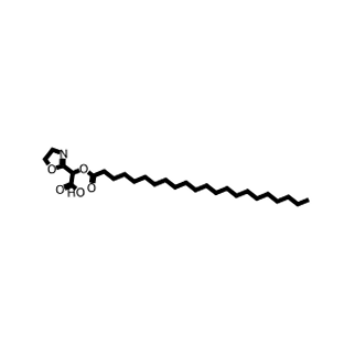 CCCCCCCCCCCCCCCCCCCCCC(=O)OC(C(=O)O)C1=NCCO1